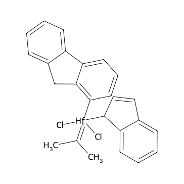 C[C](C)=[Hf]([Cl])([Cl])([c]1cccc2c1Cc1ccccc1-2)[CH]1C=Cc2ccccc21